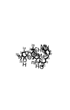 CCCN(C[C@H](C)C[C@@](C)(OC)[C@H](O[C@@H]1O[C@H](C)C[C@H](N(C)C)[C@H]1O)[C@@H](C)C(=O)C(C)(C)C=O)[C@@H](CO)CCCN1CCc2ncncc2C1